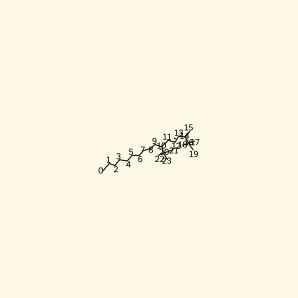 CCCCCCCCCCC(C[CH]CC(C)C(C)(C)C)C(C)(C)C